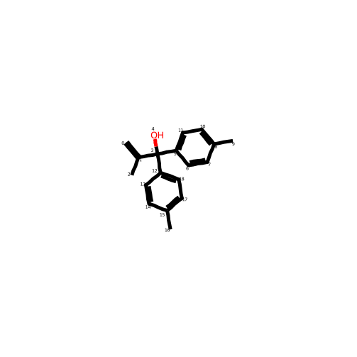 C=C(C)C(O)(c1ccc(C)cc1)c1ccc(C)cc1